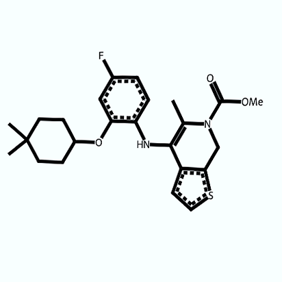 COC(=O)N1Cc2sccc2C(Nc2ccc(F)cc2OC2CCC(C)(C)CC2)=C1C